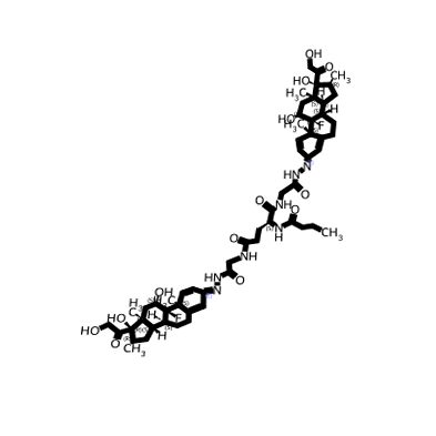 CCCC(=O)N[C@@H](CCC(=O)NCC(=O)N/N=C1\C=C[C@@]2(C)C(=C1)CC[C@H]1[C@@H]3C[C@@H](C)[C@](O)(C(=O)CO)[C@@]3(C)C[C@H](O)[C@@]12F)C(=O)NCC(=O)N/N=C1\C=C[C@@]2(C)C(=C1)CC[C@H]1[C@@H]3C[C@@H](C)[C@](O)(C(=O)CO)[C@@]3(C)C[C@H](O)[C@@]12F